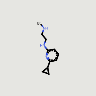 CCNCCNc1cccc(C2CC2)n1